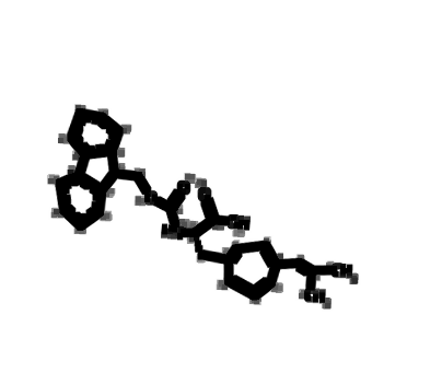 CC(C)=CC1=CC=C(C[C@H](NC(=O)OCC2c3ccccc3-c3ccccc32)C(=O)O)C=C=C1